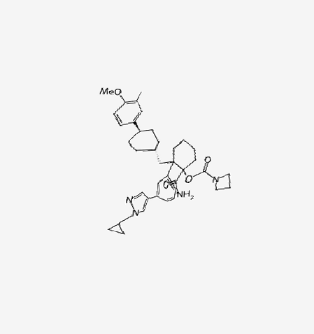 COc1ccc([C@H]2CC[C@H](CC3(c4cccc(-c5cnn(C6CC6)c5)c4)CCCCC3(OC(=O)N3CCC3)C(N)=O)CC2)cc1C